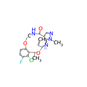 C=C/C1=N\c2c(cnn2C)C(=O)NCCOc2ccc(F)c(Cl)c2C(C)O1